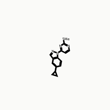 CSc1nccc(-n2ncc3cc(C4CC4)ccc32)n1